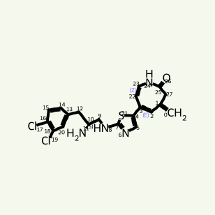 C=C1/C=C(c2cnc(NC[C@@H](N)Cc3ccc(Cl)c(Cl)c3)s2)\C=C/NC(=O)C1